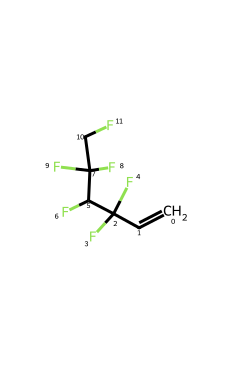 C=CC(F)(F)C(F)C(F)(F)CF